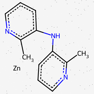 Cc1ncccc1Nc1cccnc1C.[Zn]